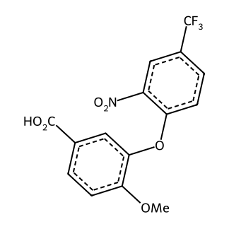 COc1ccc(C(=O)O)cc1Oc1ccc(C(F)(F)F)cc1[N+](=O)[O-]